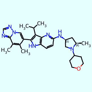 Cc1c(-c2[nH]c3ccc(N[C@H]4C[C@@H](C)N(C5CCOCC5)C4)nc3c2C(C)C)cn2ncnc2c1C